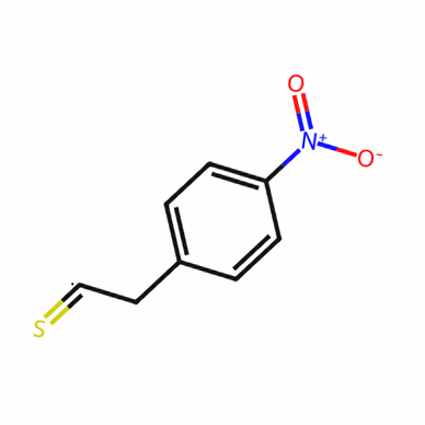 O=[N+]([O-])c1ccc(C[C]=S)cc1